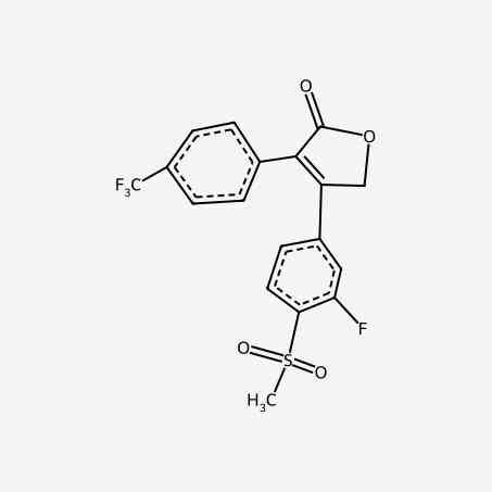 CS(=O)(=O)c1ccc(C2=C(c3ccc(C(F)(F)F)cc3)C(=O)OC2)cc1F